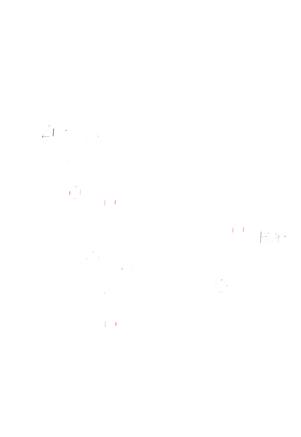 C=CC(=O)[O-].C=CC(=O)[O-].C=CC(=O)[O-].C=CC(=O)[O-].[Ba+2].[Zn+2]